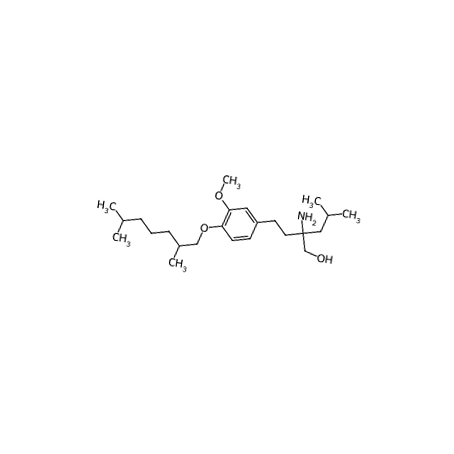 COc1cc(CCC(N)(CO)CC(C)C)ccc1OCC(C)CCCC(C)C